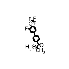 CN(C)C(=O)c1ccc(-c2ccc(OC(F)(F)F)c(F)c2)cc1